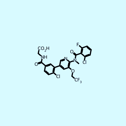 CN(C(=O)c1c(F)cccc1Cl)c1ncc(-c2cc(C(=O)NCC(=O)O)ccc2Cl)cc1OCC(F)(F)F